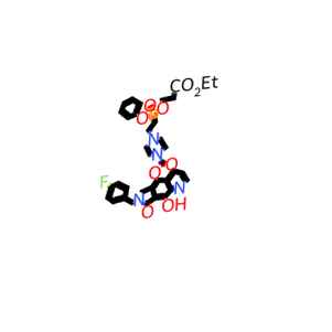 CCOC(=O)CCOP(=O)(CCN1CCN(C(=O)Oc2c3c(c(O)c4ncccc24)C(=O)N(Cc2ccc(F)cc2)C3)CC1)Oc1ccccc1